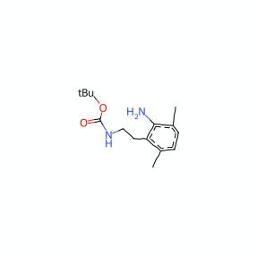 Cc1ccc(C)c(CCNC(=O)OC(C)(C)C)c1N